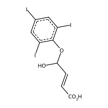 O=C(O)/C=C/C(O)Oc1c(I)cc(I)cc1I